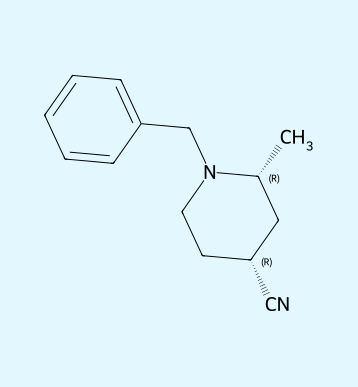 C[C@@H]1C[C@H](C#N)CCN1Cc1ccccc1